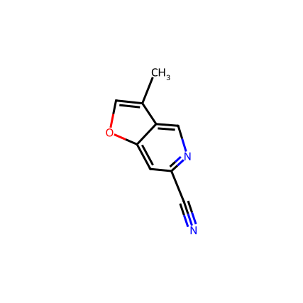 Cc1coc2cc(C#N)ncc12